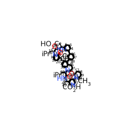 Cc1c(-c2cccc([C@H](CC(=O)O)NC(=O)[C@@H](CC(C)C)n3cccc(C)c3=O)c2)cccc1-c1cccc2c1CCC(=O)N2C(CC(C)C)C(=O)N[C@@H](CC(=O)O)c1cncc(N2CCCC[C@@H]2C)c1